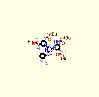 CC(C)(C)OC(=O)N[C@@H]1C[C@H](NC(=O)OC(C)(C)C)CN(c2nc(Nc3cccc(N)c3)nc(N3C[C@H](NC(=O)OC(C)(C)C)C[C@H](NC(=O)OC(C)(C)C)C3)n2)C1